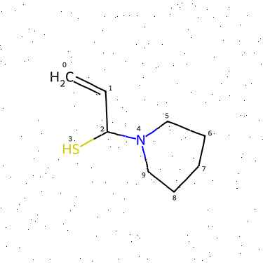 C=CC(S)N1CCCCC1